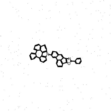 c1ccc(-c2nc3c(o2)-c2cccc4c2c-3cc2ccc(-n3c5cccc6c5c5c7c(cccc7ccc53)-c3ccccc3-6)cc24)cc1